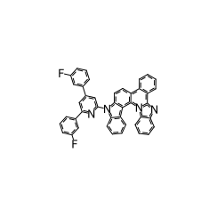 Fc1cccc(-c2cc(-c3cccc(F)c3)nc(-n3c4ccccc4c4c3ccc3c5ccccc5c5nc6ccccc6n5c34)c2)c1